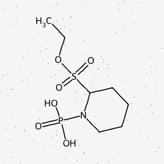 CCOS(=O)(=O)C1CCCCN1P(=O)(O)O